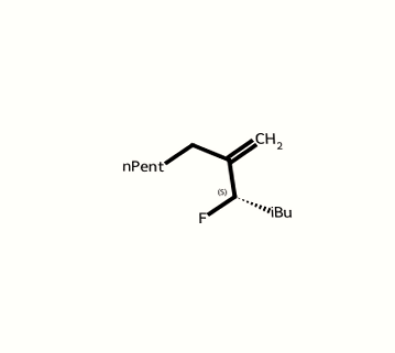 C=C(CCCCCC)[C@@H](F)C(C)CC